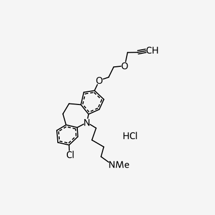 C#CCOCCOc1ccc2c(c1)CCc1ccc(Cl)cc1N2CCCCNC.Cl